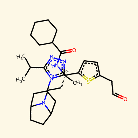 Cc1nnc(C(C)C)n1C1CC2CCC(C1)N2CC[C@H](NC(=O)C1CCCCC1)c1ccc(CC=O)s1